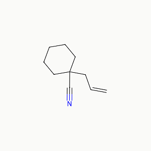 C=CCC1(C#N)CCCCC1